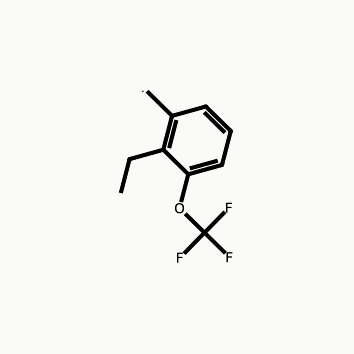 [CH2]c1cccc(OC(F)(F)F)c1CC